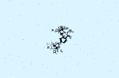 CC(C)(C)OC(=O)c1ccc(B2OC(C)(C)C(C)(C)O2)cc1B1OC(C)(C)C(C)(C)O1